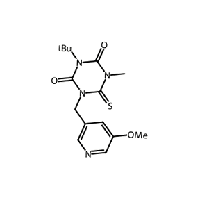 COc1cncc(Cn2c(=S)n(C)c(=O)n(C(C)(C)C)c2=O)c1